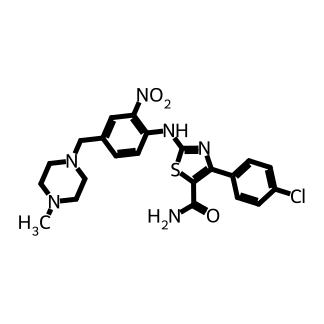 CN1CCN(Cc2ccc(Nc3nc(-c4ccc(Cl)cc4)c(C(N)=O)s3)c([N+](=O)[O-])c2)CC1